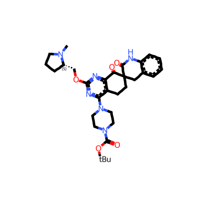 CN1CCC[C@H]1COc1nc2c(c(N3CCN(C(=O)OC(C)(C)C)CC3)n1)CCC1(Cc3ccccc3NC1=O)C2=O